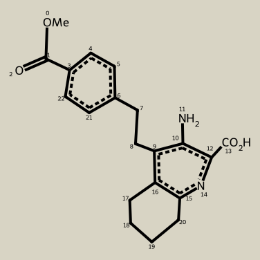 COC(=O)c1ccc(CCc2c(N)c(C(=O)O)nc3c2CCCC3)cc1